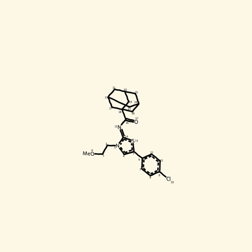 COCCn1cc(-c2ccc(Cl)cc2)sc1=NC(=O)C12CC3CC(CC(C3)C1)C2